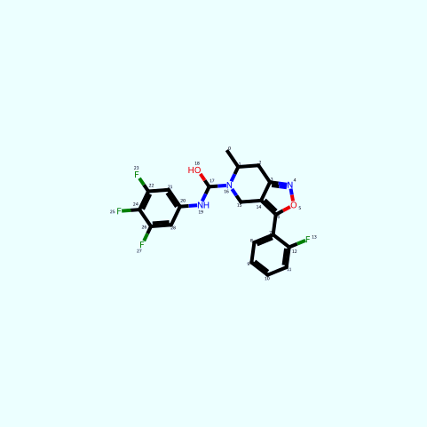 CC1Cc2noc(-c3ccccc3F)c2CN1C(O)Nc1cc(F)c(F)c(F)c1